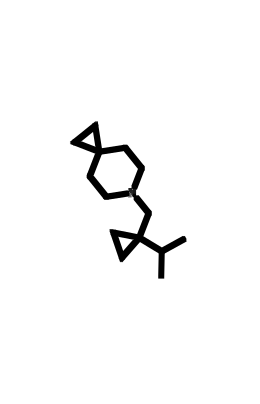 CC(C)C1(CN2CCC3(CC2)CC3)CC1